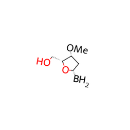 B[C@H]1C[C@@H](OC)[C@@H](CO)O1